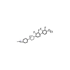 C/C=C/c1ccc(C2CCC(c3ccc(-c4ccc(OCC)c(F)c4F)c(F)c3F)CO2)cc1